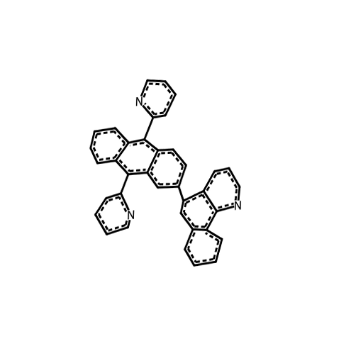 c1ccc(-c2c3ccccc3c(-c3ccccn3)c3cc(-c4cc5ccccc5c5ncccc45)ccc23)nc1